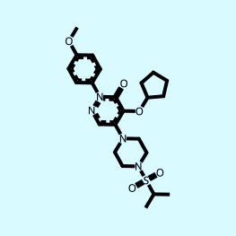 COc1ccc(-n2ncc(N3CCN(S(=O)(=O)C(C)C)CC3)c(OC3CCCC3)c2=O)cc1